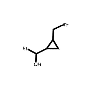 CCC(O)C1CC1CC(C)C